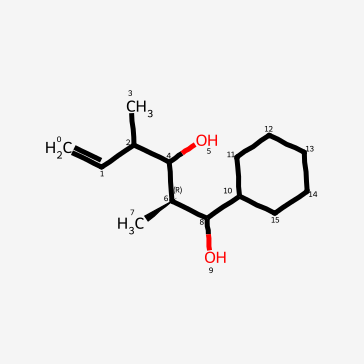 C=CC(C)C(O)[C@H](C)C(O)C1CCCCC1